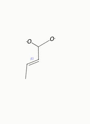 C/C=C/C([O])[O]